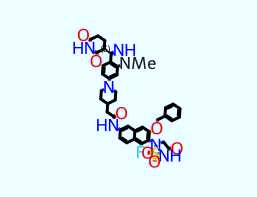 CNc1cc(N2CCC(CC(=O)Nc3ccc4c(F)c(N5CC(=O)NS5(=O)=O)c(OCc5ccccc5)cc4c3)CC2)ccc1C(=N)[C@@H]1CCC(=O)NC1=O